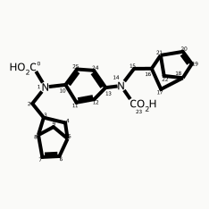 O=C(O)N(CC1CC2C=CC1C2)c1ccc(N(CC2CC3C=CC2C3)C(=O)O)cc1